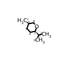 CC(C)[C@H]1CC[C@@H](C)CO1